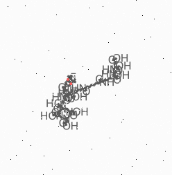 CC(C)(C)[Si](F)(c1ccc(C(=O)NC[C@@H](NC(=O)CC[C@@H](C(=O)O)N2CCN(CC(=O)O)CCN(CC(=O)O)CCN(CC(=O)O)CC2)C(=O)N[C@H](CCCCNC(=O)CCCCCCC(=O)NCCCC[C@H](NC(=O)N[C@@H](CCC(=O)O)C(=O)O)C(=O)O)C(=O)O)cc1)C(C)(C)C